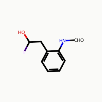 O=CNc1ccccc1CC(O)I